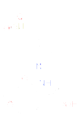 O=C(Nc1cccc(-c2ccc([SH](=O)=O)cc2)n1)C1(c2ccc(O)cc2)CCOCC1